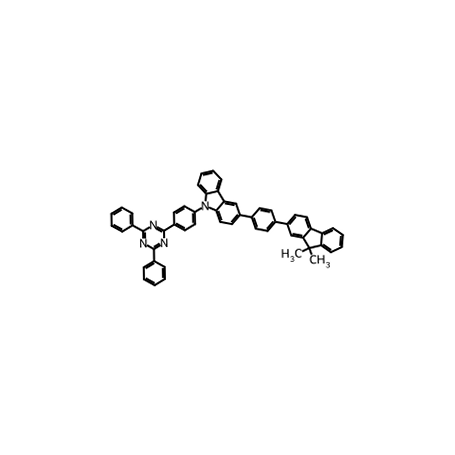 CC1(C)c2ccccc2-c2ccc(-c3ccc(-c4ccc5c(c4)c4ccccc4n5-c4ccc(-c5nc(-c6ccccc6)nc(-c6ccccc6)n5)cc4)cc3)cc21